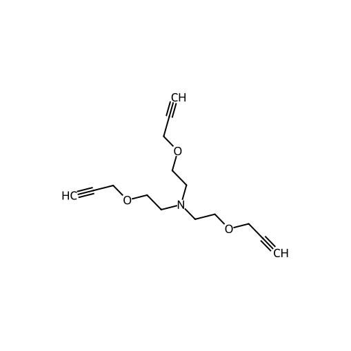 C#CCOCCN(CCOCC#C)CCOCC#C